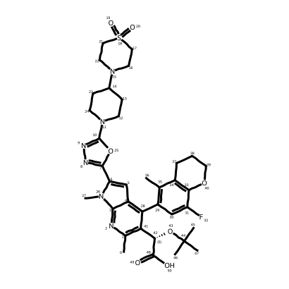 Cc1nc2c(cc(-c3nnc(N4CCC(N5CCS(=O)(=O)CC5)CC4)o3)n2C)c(-c2cc(F)c3c(c2C)CCCO3)c1[C@H](OC(C)(C)C)C(=O)O